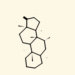 C[C@]12CCCC[C@@H]1C[C@H](O)[C@@H]1[C@@H]2CC[C@]2(C)C(=O)[C@H](F)C[C@@H]12